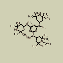 CCCCN(c1nc(N(C)C2CC(C)(C)NC(C)(C)C2)nc(N(C)C2CC(C)(C)NC(C)(C)C2)n1)C1CC(C)(C)N(OC)C(C)(C)C1